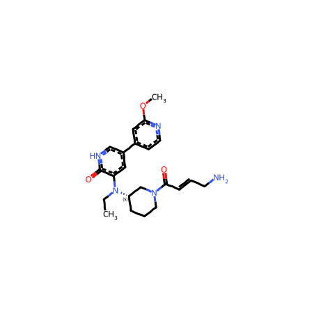 CCN(c1cc(-c2ccnc(OC)c2)c[nH]c1=O)[C@H]1CCCN(C(=O)C=CCN)C1